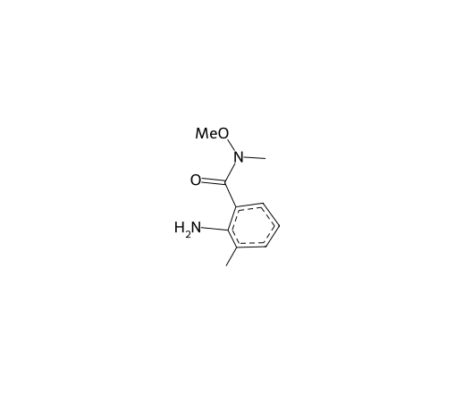 CON(C)C(=O)c1cccc(C)c1N